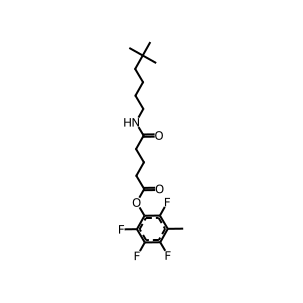 Cc1c(F)c(F)c(F)c(OC(=O)CCCC(=O)NCCCCC(C)(C)C)c1F